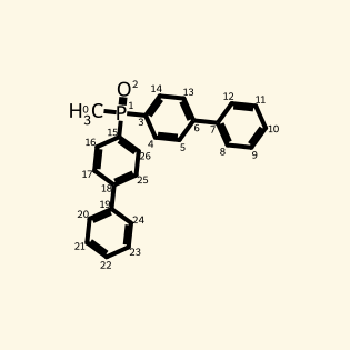 CP(=O)(c1ccc(-c2ccccc2)cc1)c1ccc(-c2ccccc2)cc1